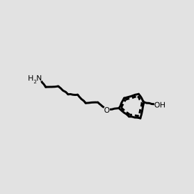 NCCCCCCOc1ccc(O)cc1